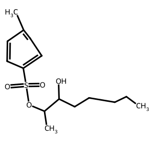 CCCCCC(O)C(C)OS(=O)(=O)c1ccc(C)cc1